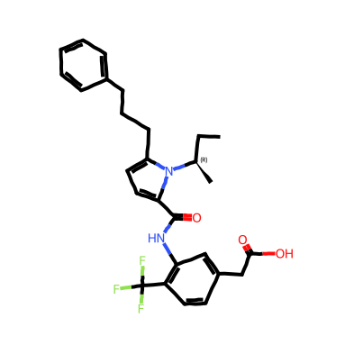 CC[C@@H](C)n1c(CCCc2ccccc2)ccc1C(=O)Nc1cc(CC(=O)O)ccc1C(F)(F)F